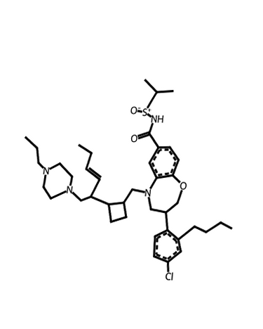 CC/C=C/C(CN1CCN(CCC)CC1)C1CCC1CN1CC(c2ccc(Cl)cc2CCCC)COc2ccc(C(=O)N[S+]([O-])C(C)C)cc21